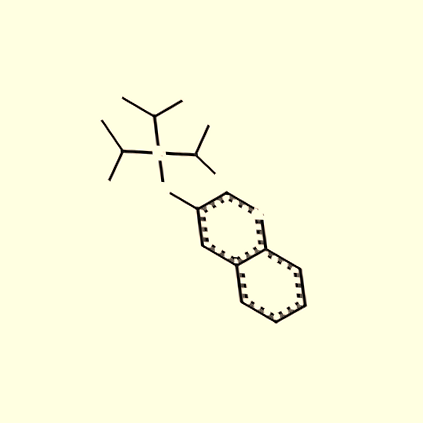 CC(C)[Si](Sc1cnc2ccccc2c1)(C(C)C)C(C)C